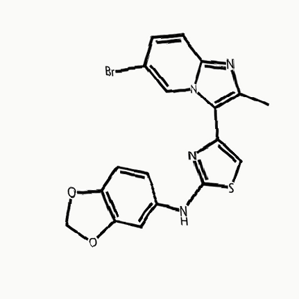 Cc1nc2ccc(Br)cn2c1-c1csc(Nc2ccc3c(c2)OCO3)n1